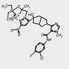 CC[Si](CC)(CC)OC(C)(C)Cn1nc([N+](=O)[O-])cc1C1(O)CC2CC(c3ncn(C)c3C(=O)Nc3ccc(F)c(Cl)c3)CC2C1